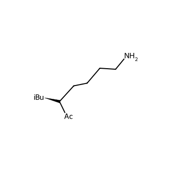 CC[C@H](C)C(CCCCN)C(C)=O